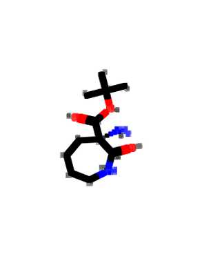 CC(C)(C)OC(=O)[C@]1(N)CCCCNC1=O